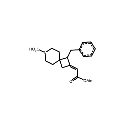 COC(=O)C=C1CC2(CCN(C(=O)O)CC2)C1Cc1ccccc1